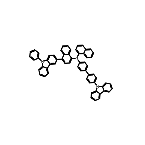 c1ccc(-n2c3ccccc3c3cc(-c4ccc(N(c5ccc(-c6ccc(-n7c8ccccc8c8ccccc87)cc6)cc5)c5cccc6ccccc56)c5ccccc45)ccc32)cc1